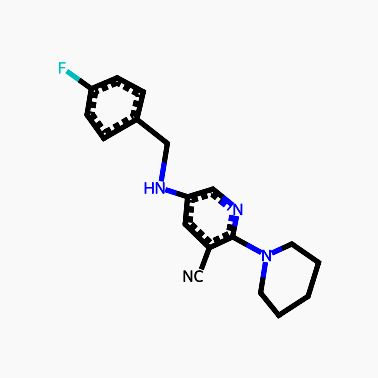 N#Cc1cc(NCc2ccc(F)cc2)cnc1N1CCCCC1